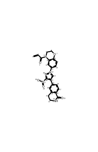 C=CC(=O)N1CCOc2ccc(-n3cc(-c4ccc5c(c4)CCNC5=O)c([N+](=O)[O-])n3)cc21